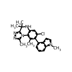 Cc1c(-c2cccc3c2ccn3C)c(Cl)cc2c1-n1c(C)nnc1C(C)(C)N2